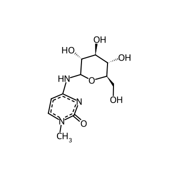 Cn1ccc(NC2O[C@H](CO)[C@@H](O)[C@H](O)[C@H]2O)nc1=O